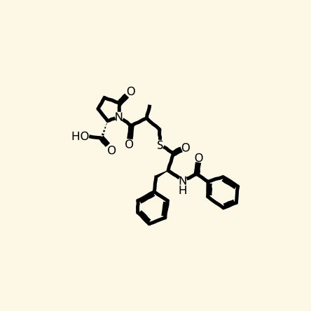 CC(CSC(=O)[C@H](Cc1ccccc1)NC(=O)c1ccccc1)C(=O)N1C(=O)CC[C@H]1C(=O)O